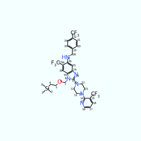 C[Si](C)(C)CCOCn1c(N2CCN(c3ncccc3C(F)(F)F)CC2)nc2cc(NCc3ccc(C(F)(F)F)cc3)c(C(F)(F)F)cc21